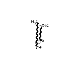 CCCCCCCCCCCCC[CH]CCC(O)=S.[CH]CCCCCCCCCCCCC